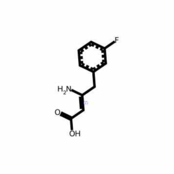 N/C(=C\C(=O)O)Cc1cccc(F)c1